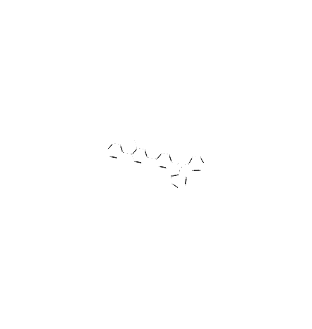 Cc1cc(-c2ccc3c(c2)c2cccc4c5ccccc5n3c42)c(C)cc1-c1ccccc1